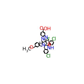 COCc1cccc(CN2[C@H]3Cn4c(nc5cc(C(=O)O)ccc54)[C@H]3[C@H](c3cccc(Cl)c3F)[C@@]23Cc2ccc(Cl)cc2NC3=O)c1